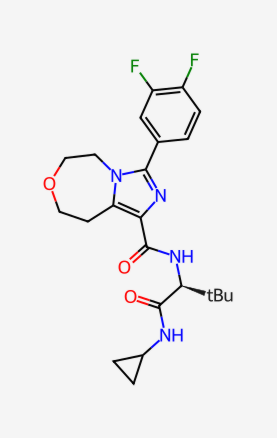 CC(C)(C)[C@H](NC(=O)c1nc(-c2ccc(F)c(F)c2)n2c1CCOCC2)C(=O)NC1CC1